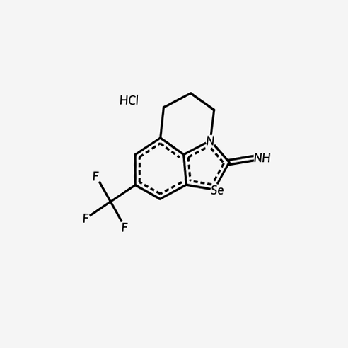 Cl.N=c1[se]c2cc(C(F)(F)F)cc3c2n1CCC3